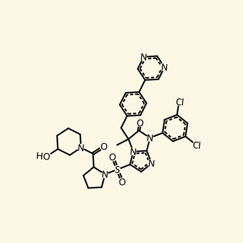 CC1(Cc2ccc(-c3cncnc3)cc2)C(=O)N(c2cc(Cl)cc(Cl)c2)c2ncc(S(=O)(=O)N3CCCC3C(=O)N3CCCC(O)C3)n21